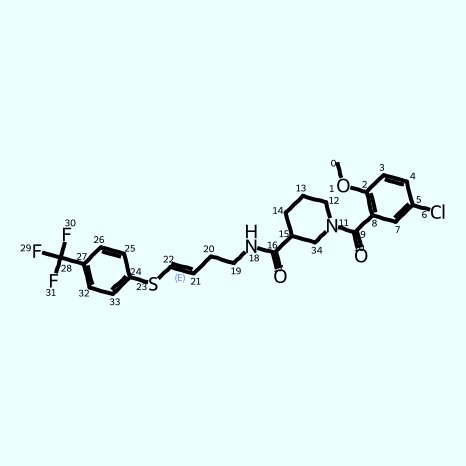 COc1ccc(Cl)cc1C(=O)N1CCCC(C(=O)NCC/C=C/Sc2ccc(C(F)(F)F)cc2)C1